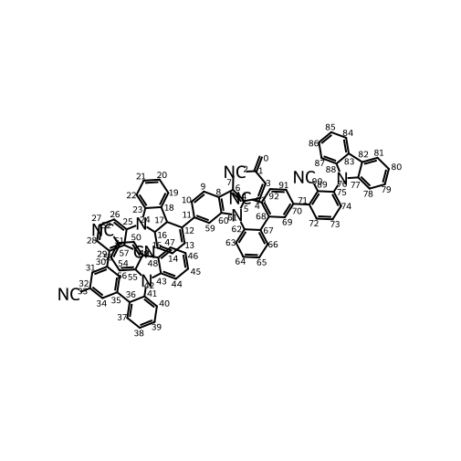 C=C(C#N)/C=C\c1c(C)c2ccc(C3=CC=CC4C3c3ccccc3N4c3cccc(-c4cc(C#N)cc(-c5ccccc5-n5c6ccccc6c6cc(C#N)ccc65)c4)c3C#N)cc2n1-c1ccccc1-c1cc(-c2cccc(-n3c4ccccc4c4ccccc43)c2C#N)ccc1C#N